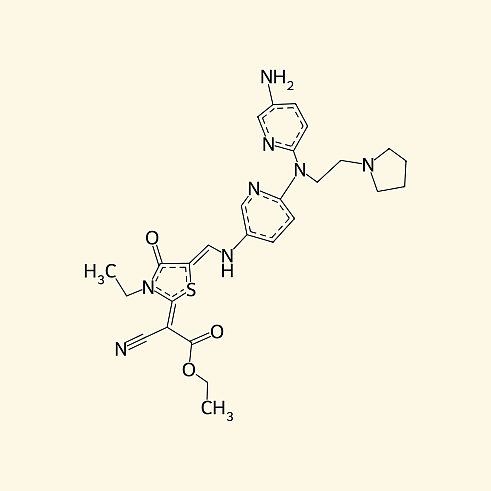 CCOC(=O)C(C#N)=c1sc(=CNc2ccc(N(CCN3CCCC3)c3ccc(N)cn3)nc2)c(=O)n1CC